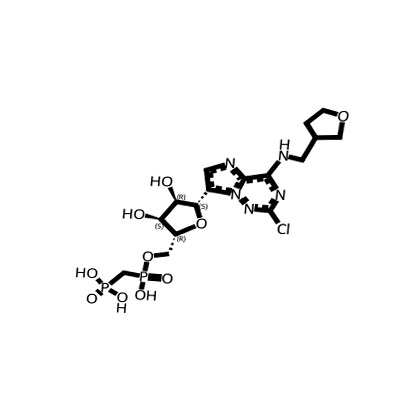 O=P(O)(O)CP(=O)(O)OC[C@H]1O[C@@H](c2cnc3c(NCC4CCOC4)nc(Cl)nn23)[C@H](O)[C@@H]1O